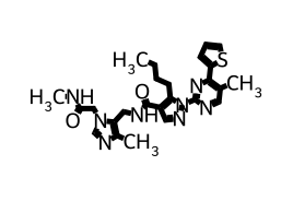 CCCCc1c(C(=O)NCc2c(C)ncn2CC(=O)NC)cnn1-c1ncc(C)c(-c2cccs2)n1